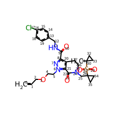 C=CCOCCn1nc(C(=O)NCc2ccc(Cl)cc2)c2c1C(=O)N(CC1(S(=O)(=O)C3(C)CC3)CC1)CC2